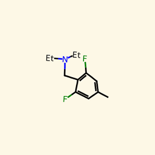 CCN(CC)Cc1c(F)cc(C)cc1F